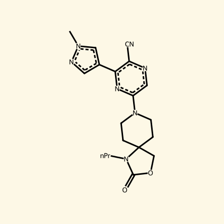 CCCN1C(=O)OCC12CCN(c1cnc(C#N)c(-c3cnn(C)c3)n1)CC2